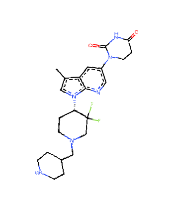 Cc1cn([C@H]2CCN(CC3CCNCC3)CC2(F)F)c2ncc(N3CCC(=O)NC3=O)cc12